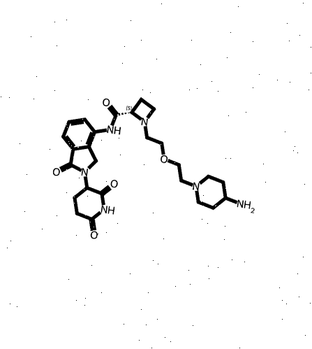 NC1CCN(CCOCCN2CC[C@H]2C(=O)Nc2cccc3c2CN(C2CCC(=O)NC2=O)C3=O)CC1